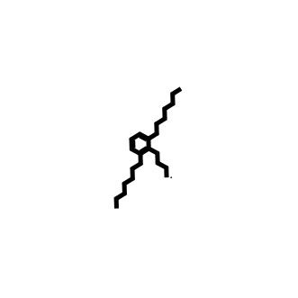 [CH2]CCCc1c(CCCCCCC)cccc1CCCCCCC